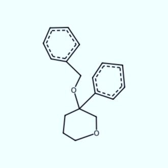 c1ccc(COC2(c3ccccc3)CCCOC2)cc1